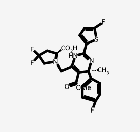 COC(=O)C1=C(CN2CC(F)(F)C[C@H]2C(=O)O)NC(c2ccc(F)s2)=N[C@@]1(C)c1ccc(F)cc1